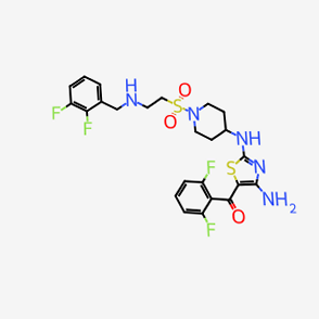 Nc1nc(NC2CCN(S(=O)(=O)CCNCc3cccc(F)c3F)CC2)sc1C(=O)c1c(F)cccc1F